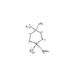 CNC1(C)CCC(C)(C)CC1